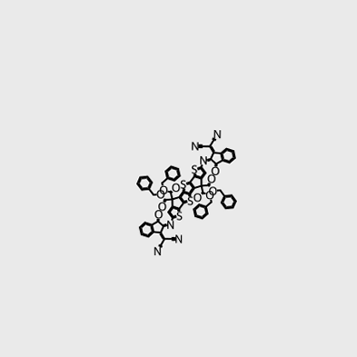 N#CC(C#N)=C1/C(=N/c2cc3c(s2)-c2sc4c5c(sc4c2C3(C(=O)OCc2ccccc2)C(=O)OCc2ccccc2)-c2sc(/N=C3\C(=O)c4ccccc4C3=C(C#N)C#N)cc2C5(C(=O)OCc2ccccc2)C(=O)OCc2ccccc2)C(=O)c2ccccc21